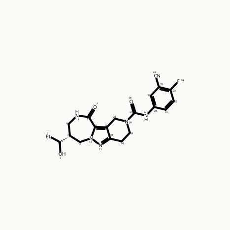 CCC(O)[C@@H]1CNC(=O)c2c3c(nn2C1)CCN(C(=O)Nc1ccc(F)c(C#N)c1)C3